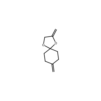 C=C1CCC2(CC1)OCC(=C)O2